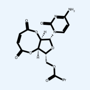 CC(C)C(=O)OC[C@H]1O[C@@H](n2ccc(N)nc2=O)[C@@H]2OC(=O)/C=C\C(=O)O[C@@H]21